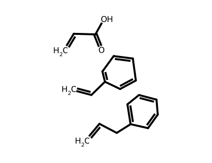 C=CC(=O)O.C=CCc1ccccc1.C=Cc1ccccc1